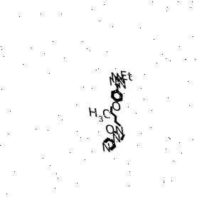 CCn1nnc(-c2ccc(OCC(C)CCCN3CCN(c4ccncc4)C3=O)cc2)n1